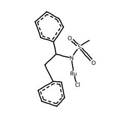 CS(=O)(=O)[N]([Ru][Cl])C(Cc1ccccc1)c1ccccc1